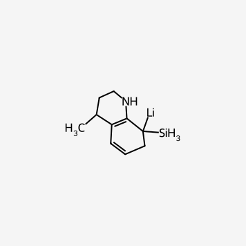 [Li][C]1([SiH3])CC=CC2=C1NCCC2C